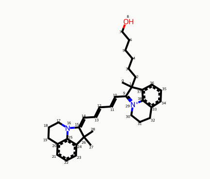 CC1(CCCCCCO)C(/C=C/C=C/C=C2/N3CCCc4cccc(c43)C2(C)C)=[N+]2CCCc3cccc1c32